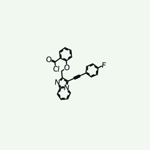 O=C(Cl)c1ccccc1OCc1nc2ccccn2c1C#Cc1ccc(F)cc1